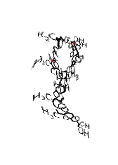 C=C1CC2CC[C@@]34OC5C6O[C@@](O)(C(O3)C6OC3CCC(CC(=O)OC6[C@H](CC7O[C@@H](CCC1O2)C[C@@H](C)C7=C)O[C@H]1C[C@H]2O[C@@]7(CC8O[C@]9(C[C@H](C)C%10OC%11CC(C(O)CO)OC%11CC%10O9)C[C@H](C)C8O7)C[C@H]2O[C@H]1[C@@H]6C)O[C@@H]35)C4O